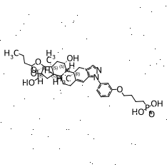 CCCC1O[C@@H]2C[C@H]3[C@@H]4CCC5=Cc6c(cnn6-c6cccc(OCCCCP(=O)(O)O)c6)C[C@]5(C)[C@H]4[C@@H](O)C[C@]3(C)[C@]2(C(=O)CO)O1